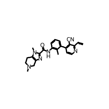 C=Cc1nccc(-c2cccc(NC(=O)c3nc4c(n3C)CCN(C)C4)c2C)c1C#N